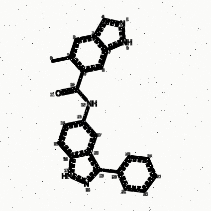 Cc1cc2cn[nH]c2cc1C(=O)Nc1ccc2[nH]nc(-c3ccccc3)c2c1